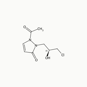 CC(=O)n1ccc(=O)n1C[C@H](O)CCl